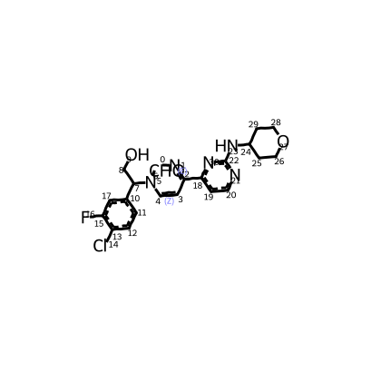 C/N=C(\C=C/N(C=O)C(CO)c1ccc(Cl)c(F)c1)c1ccnc(NC2CCOCC2)n1